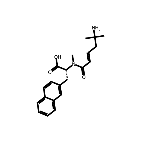 CN(C(=O)/C=C/CC(C)(C)N)[C@H](Cc1ccc2ccccc2c1)C(=O)O